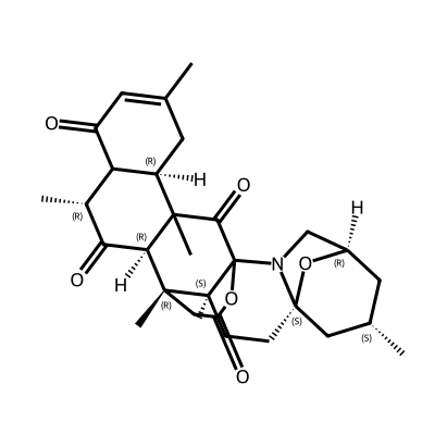 CC1=CC(=O)C2[C@@H](C1)C1(C)C(=O)C34OC(=O)C[C@](C)([C@H]1C(=O)[C@@H]2C)[C@]3(C)CC[C@]12C[C@@H](C)C[C@H](CN41)O2